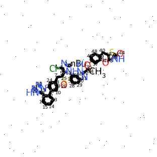 CCCCc1nc(Cl)c(C(Cc2ccc(-c3ccccc3-c3nnn[nH]3)cc2)[S+]([O-])c2ccc3nc(C(C)Oc4ccc(CC5SC(=O)NC5=O)cc4)[nH]c3c2)[nH]1